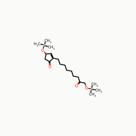 C[Si](C)(C)OCC(=O)CCCCCCCC1=CC(O[Si](C)(C)C)CC1=O